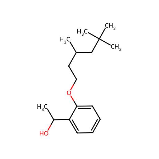 CC(CCOc1ccccc1C(C)O)CC(C)(C)C